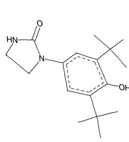 CC(C)(C)c1cc(N2CCNC2=O)cc(C(C)(C)C)c1O